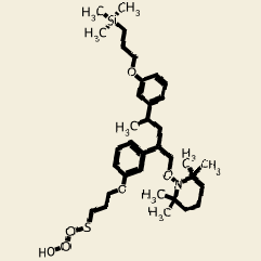 CC(CC(CON1C(C)(C)CCCC1(C)C)c1cccc(OCCCSOOO)c1)c1cccc(OCCC[Si](C)(C)C)c1